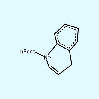 CCCCC[N+]1C=CCc2ccccc21